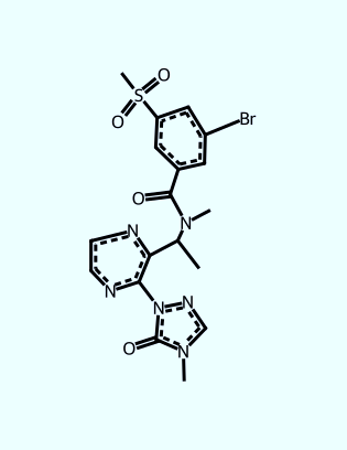 CC(c1nccnc1-n1ncn(C)c1=O)N(C)C(=O)c1cc(Br)cc(S(C)(=O)=O)c1